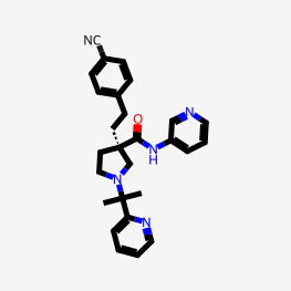 CC(C)(c1ccccn1)N1CC[C@@](CCc2ccc(C#N)cc2)(C(=O)Nc2cccnc2)C1